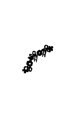 CC(C)(C)OC(=O)NCc1ccc(NC(=O)c2cc(C3=CCN(C(=O)OC(C)(C)C)CC3)cs2)cc1